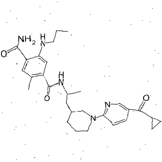 CCCNc1cc(C(=O)NC(C)CC2CCCN(c3ccc(C(=O)C4CC4)cn3)C2)c(C)cc1C(N)=O